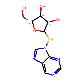 OC[C@H]1OC(Pn2cnc3cncnc32)[C@H](O)[C@@H]1O